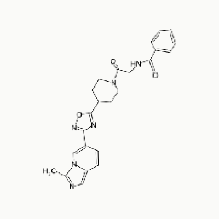 Cc1ncc2ccc(-c3noc(C4CCN(C(=O)CNC(=O)c5ccccc5)CC4)n3)cn12